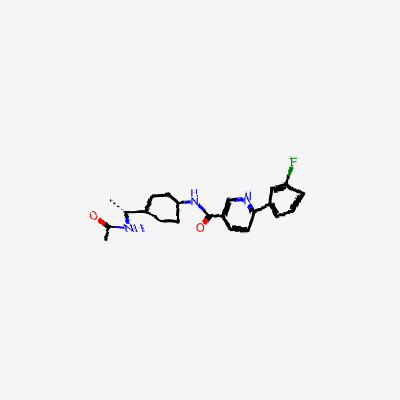 CC(=O)N[C@H](C)C1CCC(NC(=O)c2ccc(-c3cccc(F)c3)nc2)CC1